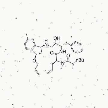 C=CCO[C@@H]1C[C@H](NC[C@H](O)[C@H](Cc2ccccc2)NC(=O)[C@H](CC=C)N(C)C(=O)[C@@H](C)CCCC)c2cc(C)ccc21